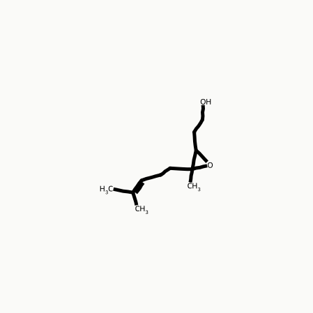 CC(C)=CCCC1(C)OC1CCO